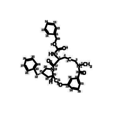 CN1CCC[C@H](NC(=O)OCc2ccccc2)C(=O)N2C[C@@H](Cc3ccccc3)C[C@H]2COc2cccc(c2)C1=O